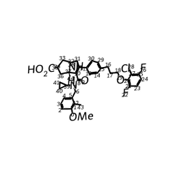 COc1cccc(CN(C(=O)C2=C(c3ccc(CCCOc4c(F)ccc(F)c4Cl)cc3)CC3CC(C(=O)O)C[C@@H]2N3)C2CC2)c1C